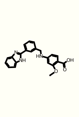 COc1cc(NCc2cccc(-c3nc4ccccc4[nH]3)c2)ccc1C(=O)O